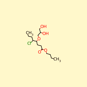 CCCCOC(=O)CCC(OCC(O)CO)C(Cl)CCC